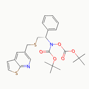 CC(C)(C)OC(=O)ON(C(=O)OC(C)(C)C)[C@H](CSCc1cnc2sccc2c1)c1ccccc1